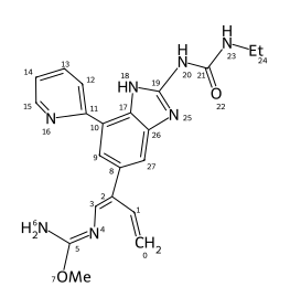 C=C/C(=C\N=C(/N)OC)c1cc(-c2ccccn2)c2[nH]c(NC(=O)NCC)nc2c1